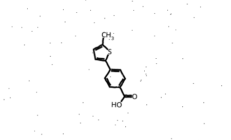 Cc1ccc(-c2ccc(C(=O)O)cc2)s1